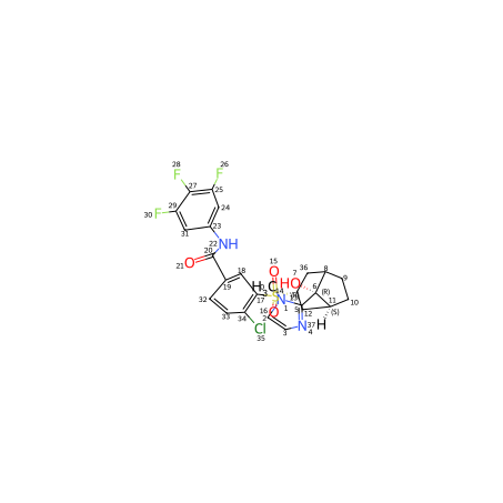 Cn1ccnc1[C@@]1(O)C2CC[C@H]1C[C@H](S(=O)(=O)c1cc(C(=O)Nc3cc(F)c(F)c(F)c3)ccc1Cl)C2